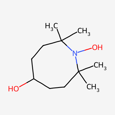 CC1(C)CCC(O)CCC(C)(C)N1O